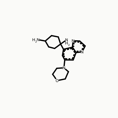 NC1CCC(N)(c2cc(N3CCOCC3)cc3nccnc23)CC1